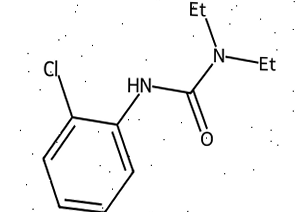 CCN(CC)C(=O)Nc1ccccc1Cl